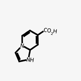 O=C(O)C1=CC2NC=CN2C=C1